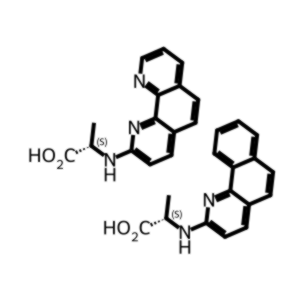 C[C@H](Nc1ccc2ccc3ccccc3c2n1)C(=O)O.C[C@H](Nc1ccc2ccc3cccnc3c2n1)C(=O)O